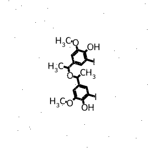 COc1cc(C(C)OC(C)c2cc(I)c(O)c(OC)c2)cc(I)c1O